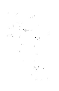 CCCN(CC)c1nc(-n2cccn2)ccc1C(=O)NS(=O)(=O)CC